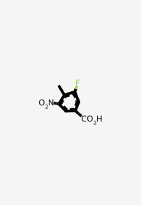 Cc1c(F)cc(C(=O)O)cc1[N+](=O)[O-]